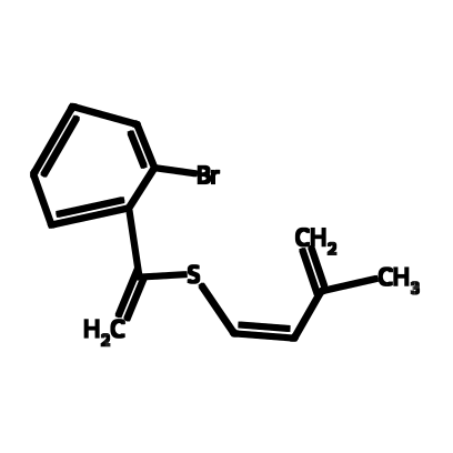 C=C(C)/C=C\SC(=C)c1ccccc1Br